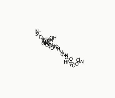 Cc1ncsc1-c1ccc([C@H](CO)NC(=O)[C@@H]2C[C@@H](O)CN2C(=O)[C@@H](NC(=O)CN2CCN(CCN3CCN(c4ccc(C(=O)N[C@H]5C(C)(C)[C@H](Oc6ccc(C#N)c(Cl)c6)C5(C)C)cn4)CC3)CC2)C(C)(C)C)cc1